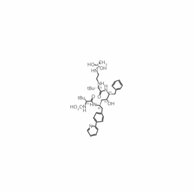 CC(C)(C)[C@H](NCCNS(C)(O)O)C(=O)N[C@@H](Cc1ccccc1)[C@@H](O)C[C@@H](Cc1ccc(-c2ccccn2)cc1)NC(=O)[C@@H](NC(=O)O)C(C)(C)C